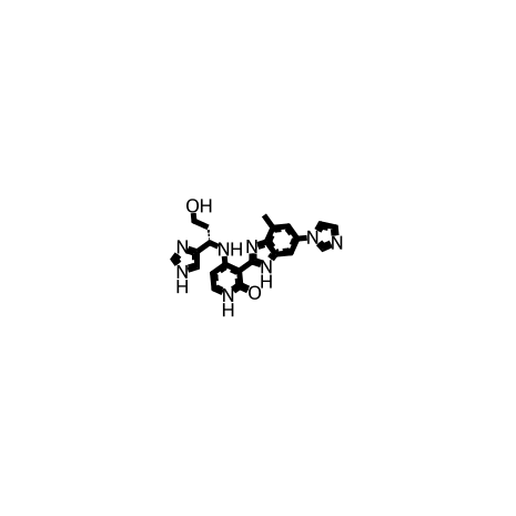 Cc1cc(-n2ccnc2)cc2[nH]c(-c3c(N[C@@H](CCO)c4c[nH]cn4)cc[nH]c3=O)nc12